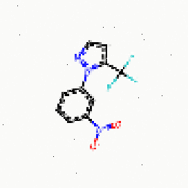 O=[N+]([O-])c1cccc(-n2nc[c]c2C(F)(F)F)c1